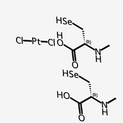 CN[C@@H](C[SeH])C(=O)O.CN[C@@H](C[SeH])C(=O)O.[Cl][Pt][Cl]